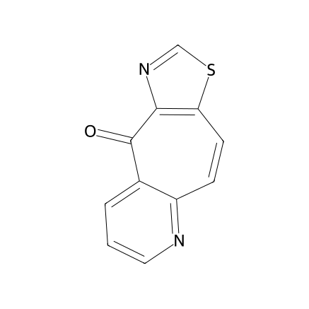 O=c1c2cccnc2ccc2scnc12